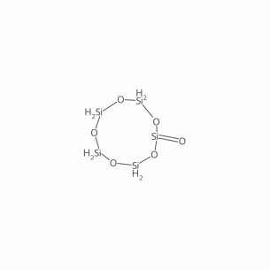 O=[Si]1O[SiH2]O[SiH2]O[SiH2]O[SiH2]O1